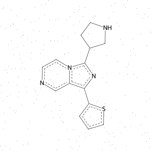 c1csc(-c2nc(C3CCNC3)n3ccncc23)c1